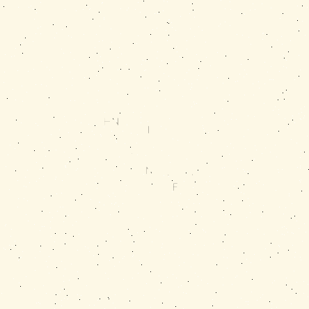 CC(C)(C)CC1(F)CN(CC(C)(C)C2CNCC2F)C1